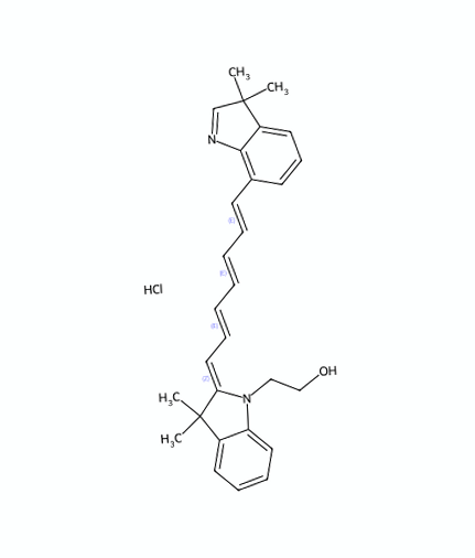 CC1(C)C=Nc2c(/C=C/C=C/C=C/C=C3\N(CCO)c4ccccc4C3(C)C)cccc21.Cl